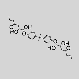 CC=CC(=O)CC(O)C(O)Oc1ccc(C(C)(C)c2ccc(OC(O)C(O)CC(=O)C=CC)cc2)cc1